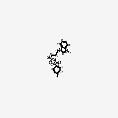 Cc1ccc(S(=O)(=O)OS(=O)(=O)CCC[n+]2cn(C)c3ccccc32)cc1